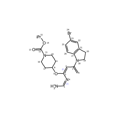 C=C(/C=C(\N=C/N)OC1CCN(C(=O)OC(C)C)CC1)N1CCc2cc(Br)ccc21